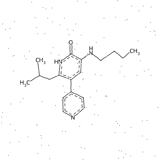 CCCCNc1cc(-c2ccncc2)c(CC(C)C)[nH]c1=O